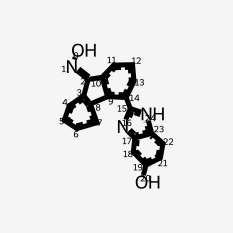 ON=C1c2ccccc2-c2c1cccc2-c1nc2cc(O)ccc2[nH]1